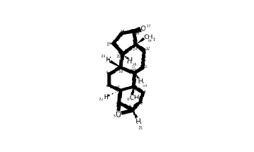 C[C@@]12CC[C@@H]3OC3[C@H]1CC[C@H]1[C@H]2CC[C@@]2(C)C(=O)CC[C@H]12